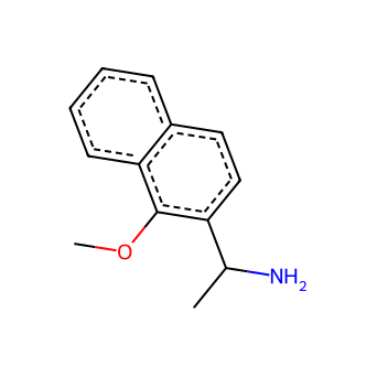 COc1c(C(C)N)ccc2ccccc12